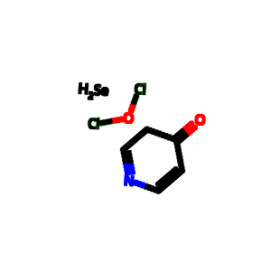 ClOCl.O=C1C=CN=CC1.[SeH2]